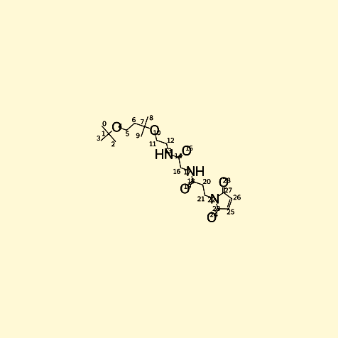 CC(C)(C)OCCC(C)(C)OCCNC(=O)CNC(=O)CCN1C(=O)C=CC1=O